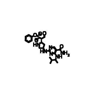 CC(C)C(C)Nc1nc(NC2CNC([C@H](C=O)S(=O)(=O)Oc3ccccc3)C2)ncc1C(N)=O